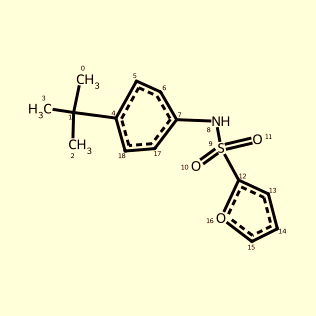 CC(C)(C)c1ccc(NS(=O)(=O)c2ccco2)cc1